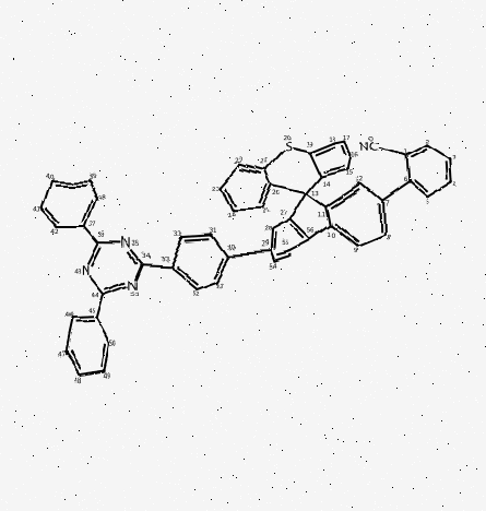 N#Cc1ccccc1-c1ccc2c(c1)C1(c3ccccc3Sc3ccccc31)c1cc(-c3ccc(-c4nc(-c5ccccc5)nc(-c5ccccc5)n4)cc3)ccc1-2